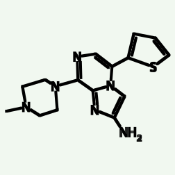 CN1CCN(c2ncc(-c3cccs3)n3cc(N)nc23)CC1